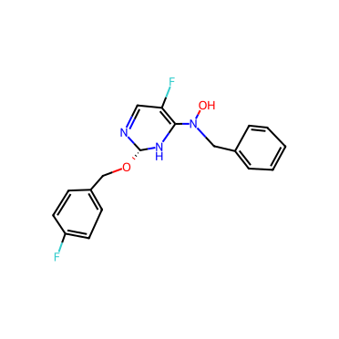 ON(Cc1ccccc1)C1=C(F)C=N[C@@H](OCc2ccc(F)cc2)N1